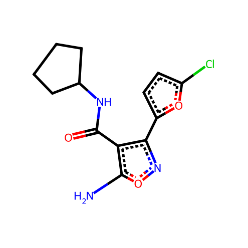 Nc1onc(-c2ccc(Cl)o2)c1C(=O)NC1CCCC1